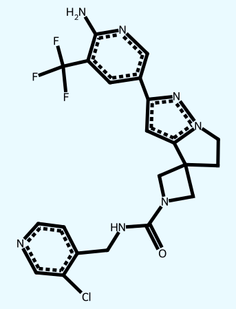 Nc1ncc(-c2cc3n(n2)CCC32CN(C(=O)NCc3ccncc3Cl)C2)cc1C(F)(F)F